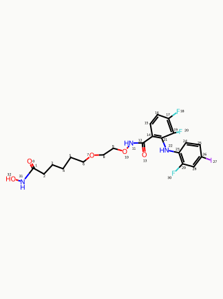 O=C(CCCCCOCCONC(=O)c1ccc(F)c(F)c1Nc1ccc(I)cc1F)NO